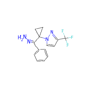 NN=C(c1ccccc1)C1(n2ccc(C(F)(F)F)n2)CC1